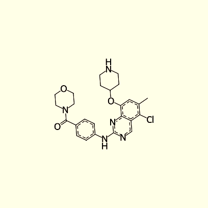 Cc1cc(OC2CCNCC2)c2nc(Nc3ccc(C(=O)N4CCOCC4)cc3)ncc2c1Cl